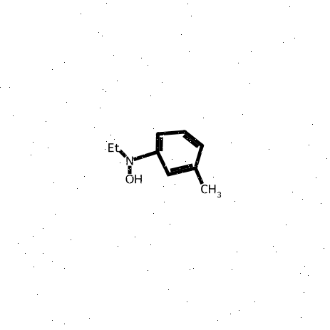 CCN(O)c1cccc(C)c1